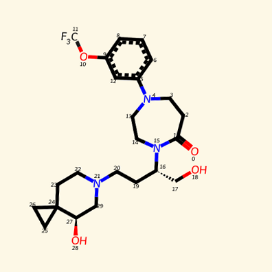 O=C1CCN(c2cccc(OC(F)(F)F)c2)CCN1[C@H](CO)CCN1CCC2(CC2)[C@H](O)C1